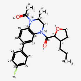 CCCC1CCOC1C(=O)N1C[C@H](C)N(C(C)=O)c2ccc(-c3ccc(F)cc3)cc21